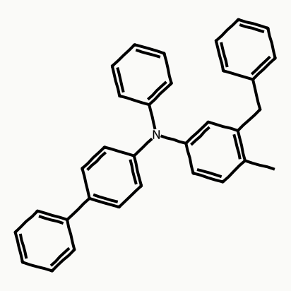 Cc1ccc(N(c2ccccc2)c2ccc(-c3ccccc3)cc2)cc1Cc1ccccc1